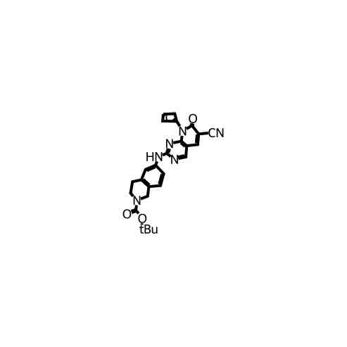 CC(C)(C)OC(=O)N1CCc2cc(Nc3ncc4cc(C#N)c(=O)n(C56CC(C5)C6)c4n3)ccc2C1